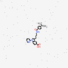 CC(C)c1ccc(C(=O)NCCCCc2cn(-c3ccccn3)c3ccc(C(=O)O)cc23)cc1